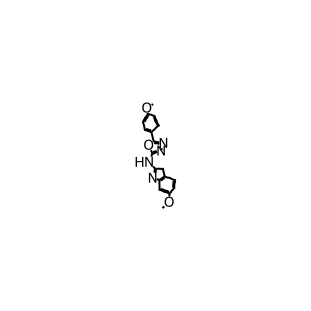 COc1ccc(-c2nnc(NC3=Nc4cc(OC)ccc4C3)o2)cc1